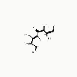 C=C(C(=O)/C(CC)=C(\O)C(C)CBr)/C(O)=C\CC